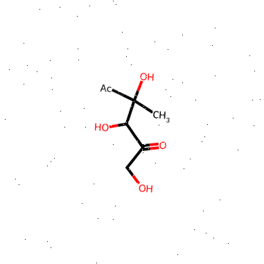 CC(=O)C(C)(O)C(O)C(=O)CO